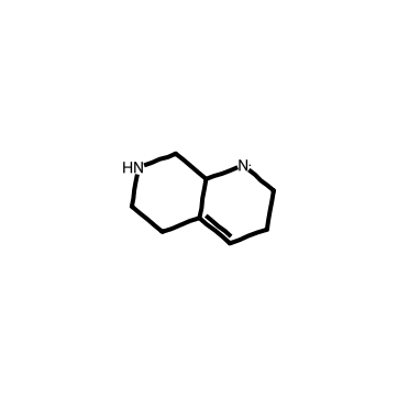 C1=C2CCNCC2[N]CC1